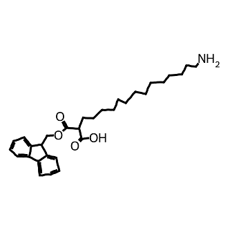 NCCCCCCCCCCCCCCC(C(=O)O)C(=O)OCC1c2ccccc2-c2ccccc21